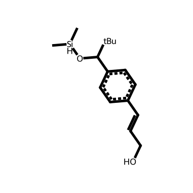 C[SiH](C)OC(c1ccc(C=CCO)cc1)C(C)(C)C